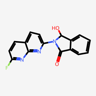 O=C1c2ccccc2C(O)N1c1ccc2ccc(F)nc2n1